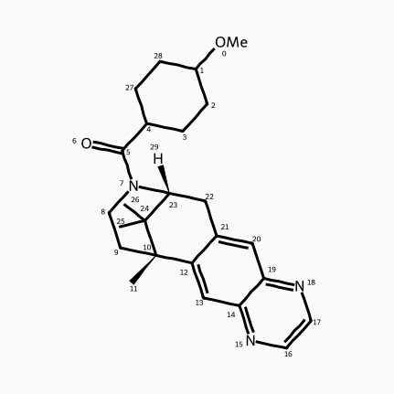 COC1CCC(C(=O)N2CC[C@@]3(C)c4cc5nccnc5cc4C[C@@H]2C3(C)C)CC1